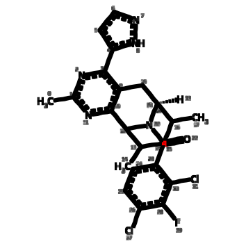 Cc1nc(-c2ccn[nH]2)c2c(n1)C1C(C)CC(C)[C@H](C2)N1C(=O)c1ccc(Cl)c(F)c1Cl